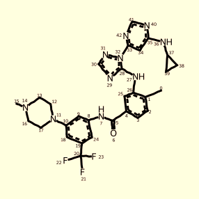 Cc1ccc(C(=O)Nc2cc(N3CCN(C)CC3)cc(C(F)(F)F)c2)cc1Nc1ncnn1-c1cc(NC2CC2)ncn1